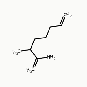 C=CCCCC(C)C(=C)N